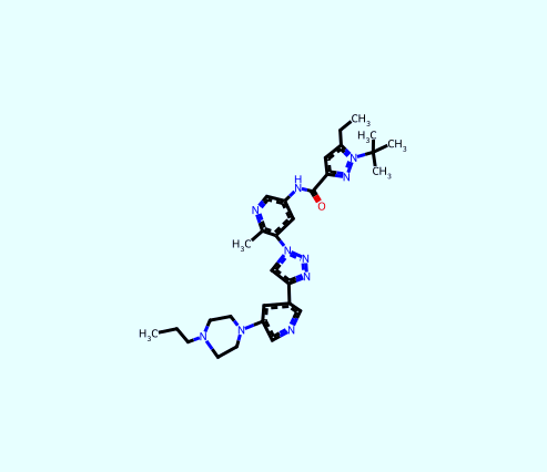 CCCN1CCN(c2cncc(-c3cn(-c4cc(NC(=O)c5cc(CC)n(C(C)(C)C)n5)cnc4C)nn3)c2)CC1